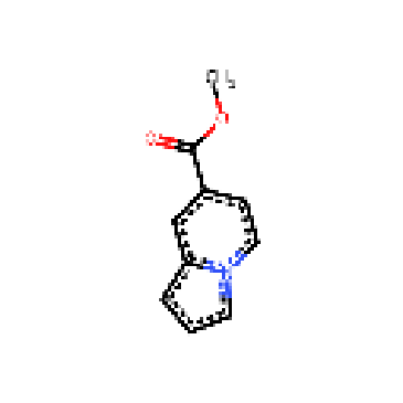 COC(=O)c1ccn2cccc2c1